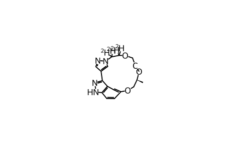 [2H]C1([2H])OCCO[C@@H](C)COc2ccc3[nH]nc(c3c2)-c2cnn(c2)C1([2H])[2H]